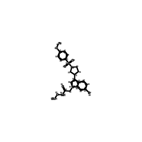 CC(C)Oc1ccc(S(=O)(=O)N2CCC(c3cn(CC(=O)NOC(C)(C)C)c4cc(Br)ccc34)C2)cc1